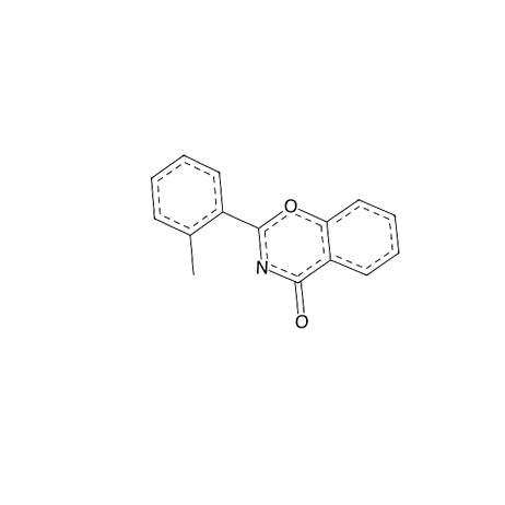 Cc1ccccc1-c1nc(=O)c2ccccc2o1